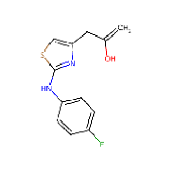 C=C(O)Cc1csc(Nc2ccc(F)cc2)n1